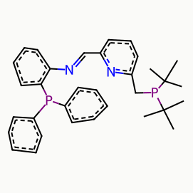 CC(C)(C)P(Cc1cccc(C=Nc2ccccc2P(c2ccccc2)c2ccccc2)n1)C(C)(C)C